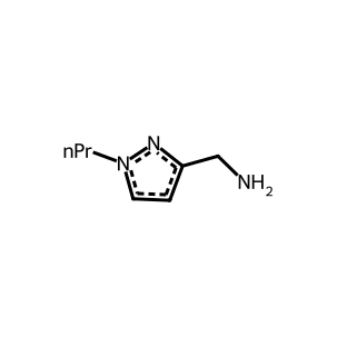 CCCn1ccc(CN)n1